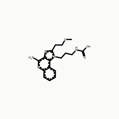 COCCc1nc2c(N)nc3ccccc3c2n1CCCNC(=O)O